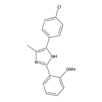 COc1ccccc1-c1nc(C)c(-c2ccc(Cl)cc2)[nH]1